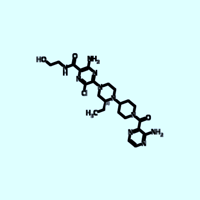 CC[C@H]1CN(c2nc(N)c(C(=O)NCCO)nc2Cl)CCN1C1CCN(C(=O)c2nccnc2N)CC1